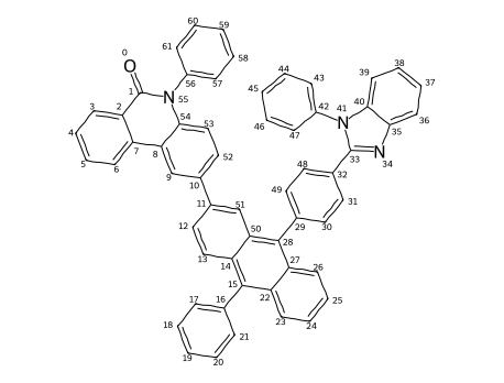 O=c1c2ccccc2c2cc(-c3ccc4c(-c5ccccc5)c5ccccc5c(-c5ccc(-c6nc7ccccc7n6-c6ccccc6)cc5)c4c3)ccc2n1-c1ccccc1